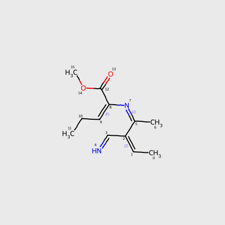 C\C=C(C=N)/C(C)=N\C(=C\CC)C(=O)OC